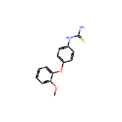 COc1ccccc1Oc1ccc(NC(N)=S)cc1